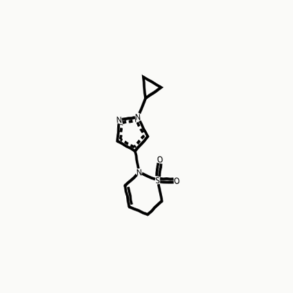 O=S1(=O)CCC=CN1c1cnn(C2CC2)c1